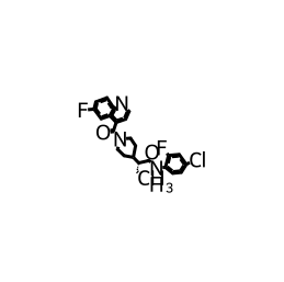 CC[C@@H](C(=O)Nc1ccc(Cl)cc1F)C1CCN(C(=O)c2ccnc3ccc(F)cc23)CC1